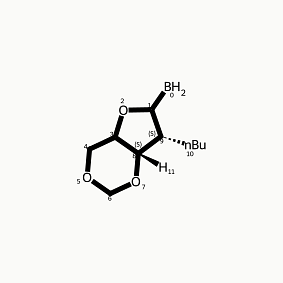 BC1OC2COCO[C@H]2[C@H]1CCCC